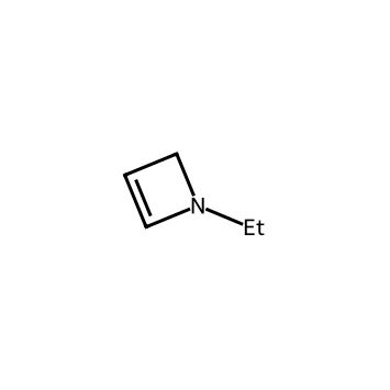 CCN1C=CC1